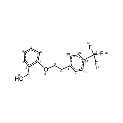 OCc1ccccc1OCCc1ccc(C(F)(F)F)cc1